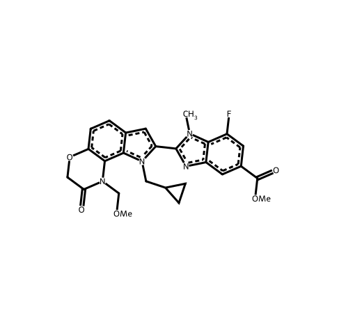 COCN1C(=O)COc2ccc3cc(-c4nc5cc(C(=O)OC)cc(F)c5n4C)n(CC4CC4)c3c21